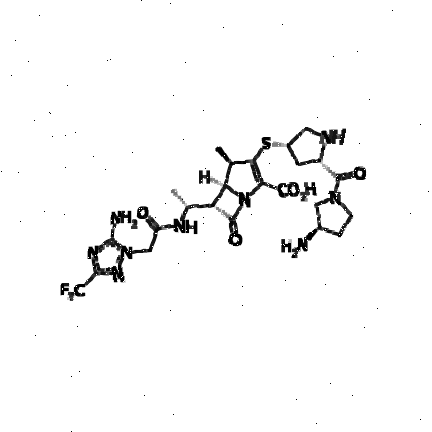 C[C@@H](NC(=O)Cn1nc(C(F)(F)F)nc1N)[C@H]1C(=O)N2C(C(=O)O)=C(S[C@@H]3CN[C@H](C(=O)N4CC[C@@H](N)C4)C3)[C@H](C)[C@H]12